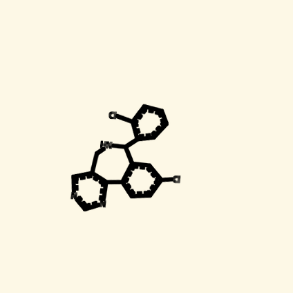 Clc1ccc2c(c1)C(c1ccccc1Cl)NCc1cncnc1-2